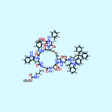 C[C@@H](O)[C@@H]1NC(=O)[C@H](CCCCNC(=O)OC(C)(C)C)NC(=O)[C@@H](Cc2c[nH]c3ccccc23)NC(=O)[C@H](Cc2ccc(O)cc2)NC(=O)[C@@H](NC(=O)[C@@H](Cc2ccccc2)NC(=O)OC(C)(C)C)CSSC[C@@H](C(=O)N[C@@H](Cc2c[nH]c3ccccc23)C(=O)NCCSC(c2ccccc2)(c2ccccc2)c2ccccc2)NC1=O